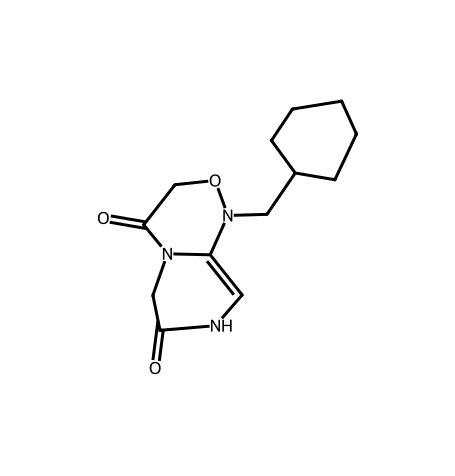 O=C1CN2C(=O)CON(CC3CCCCC3)C2=CN1